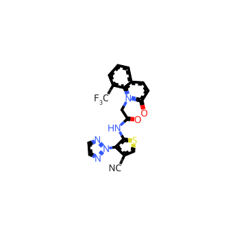 N#Cc1csc(NC(=O)Cn2c(=O)ccc3cccc(C(F)(F)F)c32)c1-n1nccn1